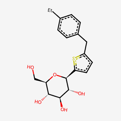 CCc1ccc(Cc2ccc([C@@H]3O[C@H](CO)[C@@H](O)[C@H](O)[C@H]3O)s2)cc1